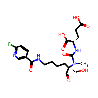 CN(C(=O)N[C@@H](CCC(=O)O)C(=O)O)[C@](C=O)(CO)CCCCNC(=O)c1ccc(F)nc1